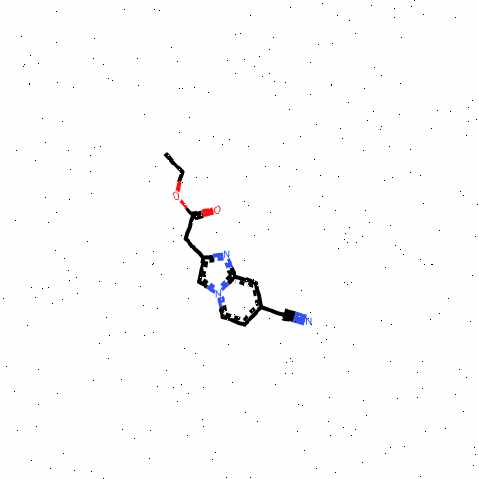 CCOC(=O)Cc1cn2ccc(C#N)cc2n1